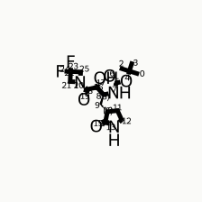 CC(C)(C)OC(=O)N[C@@H](C[C@@H]1CCNC1=O)C(O)C(=O)N1CC(F)(F)C1